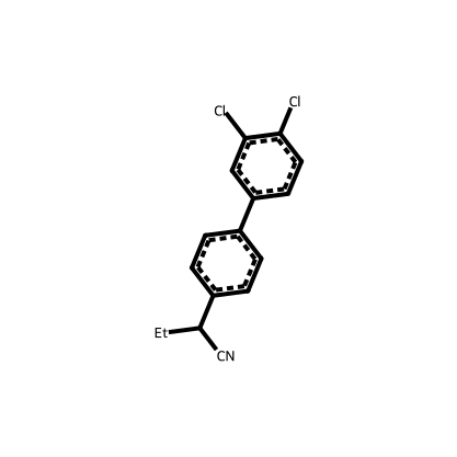 CCC(C#N)c1ccc(-c2ccc(Cl)c(Cl)c2)cc1